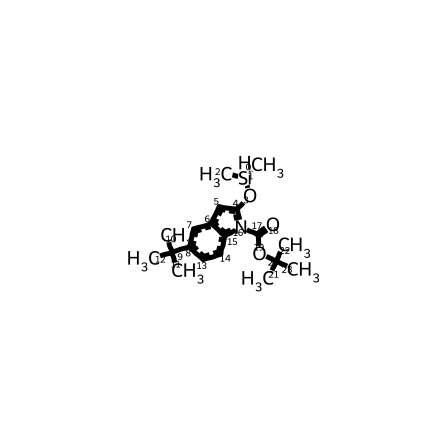 C[SiH](C)Oc1cc2cc(C(C)(C)C)ccc2n1C(=O)OC(C)(C)C